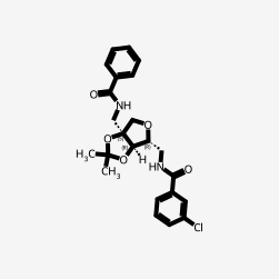 CC1(C)O[C@@H]2[C@@H](CNC(=O)c3cccc(Cl)c3)OC[C@]2(CNC(=O)c2ccccc2)O1